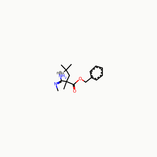 CCCCC(C)(C)CC(C)(C(=O)OCc1ccccc1)/C(N)=N\C